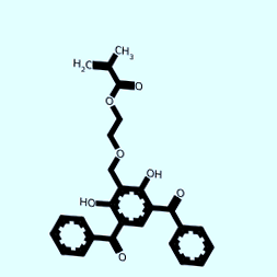 C=C(C)C(=O)OCCOCc1c(O)c(C(=O)c2ccccc2)cc(C(=O)c2ccccc2)c1O